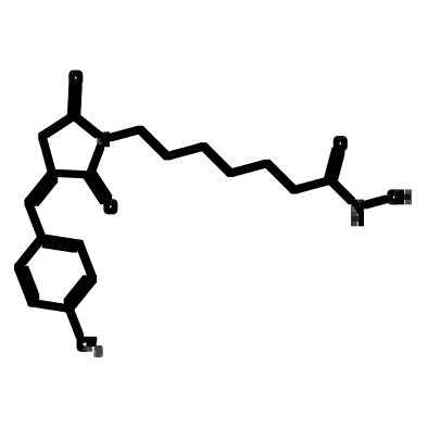 O=C(CCCCCCN1C(=O)CC(=Cc2ccc(C(F)(F)F)cc2)C1=O)NO